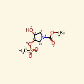 CC(C)(C)OC(=O)N1CC(O)C(OS(C)(=O)=O)C1